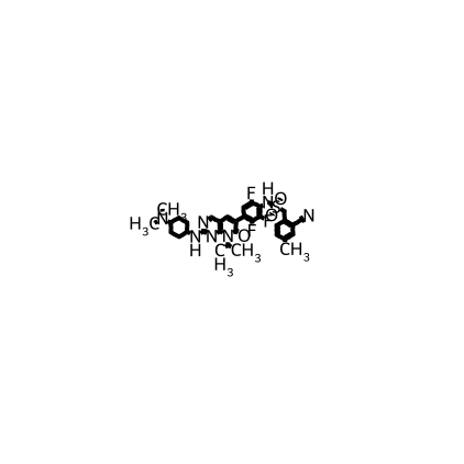 Cc1ccc(CS(=O)(=O)Nc2c(F)cc(-c3cc4cnc(NC5CCC(N(C)C)CC5)nc4n(C(C)C)c3=O)c(F)c2F)c(C#N)c1